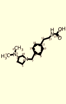 CN(C)[C@H]1CCN(Cc2ccc(CCNC(=O)O)cc2)C1